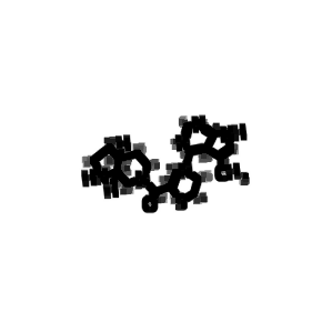 Cc1c[nH]c2ncnc(N3C=C(C(=O)N4CC[C@H]5CCN[C@H]5C4)SCC3)c12